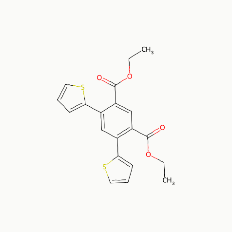 CCOC(=O)c1cc(C(=O)OCC)c(-c2cccs2)cc1-c1cccs1